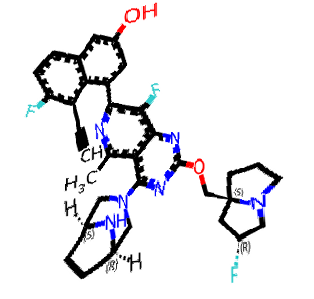 C#Cc1c(F)ccc2cc(O)cc(-c3nc(C)c4c(N5C[C@H]6CC[C@@H](C5)N6)nc(OC[C@@]56CCCN5C[C@H](F)C6)nc4c3F)c12